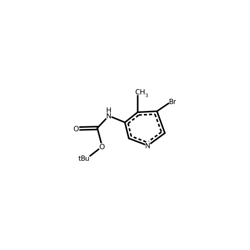 Cc1c(Br)cncc1NC(=O)OC(C)(C)C